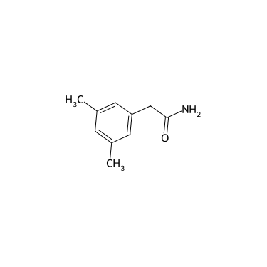 Cc1cc(C)cc(CC(N)=O)c1